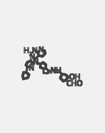 Nc1ncccc1-c1nc2ccc(-c3ccccc3)nc2n1-c1ccc2c(c1)CC[C@H]2NCCc1ccc(C=O)c(O)c1